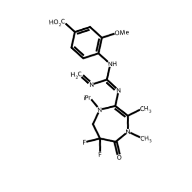 C=N/C(=N\C1=C(C)N(C)C(=O)C(F)(F)CN1C(C)C)Nc1ccc(C(=O)O)cc1OC